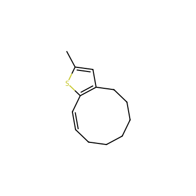 Cc1cc2c(s1)/C=C\CCCCCC2